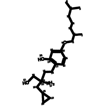 CC(C)CCCC(C)COc1ccc(CC[C@@](N)(CO)CC2CC2)c(O)c1